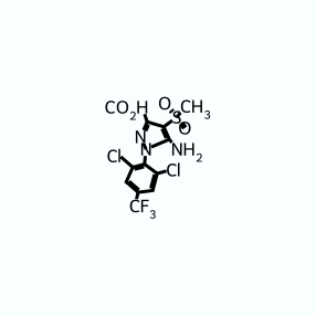 CS(=O)(=O)c1c(C(=O)O)nn(-c2c(Cl)cc(C(F)(F)F)cc2Cl)c1N